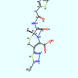 Cc1nnc(C2=C(C(=O)O)N3C(=O)C(NC(=O)Cc4cccs4)[C@H]3SC2)s1